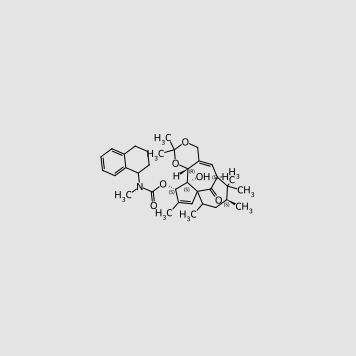 CC1=CC23C(=O)[C@@H](C=C4COC(C)(C)O[C@H]4[C@]2(O)[C@H]1OC(=O)N(C)C1CCCc2ccccc21)C(C)(C)[C@@H](C)CC3C